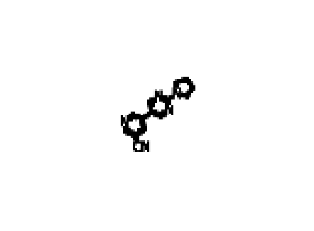 N#Cc1cncc(-c2cnc(N3CCCC3)nc2)c1